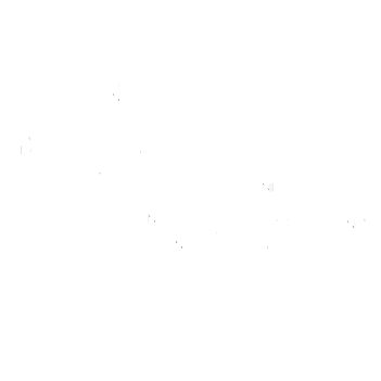 CCn1nc(-c2cncc(C)c2)cc(Nc2cccnc2)c1=O